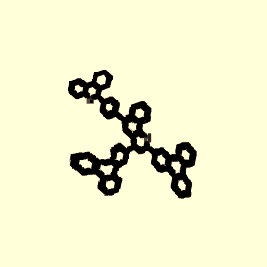 C1=Cc2c(-c3ccc(-c4cc5c(-c6ccc7c8ccccc8c8ccccc8c7c6)cc(-c6ccc7c8ccccc8c8ccccc8c7c6)nc5c5ccccc45)cc3)nc3ccccc3c2CC1